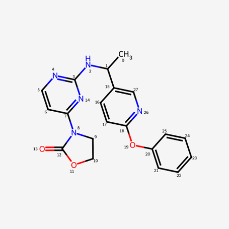 CC(Nc1nccc(N2CCOC2=O)n1)c1ccc(Oc2ccccc2)nc1